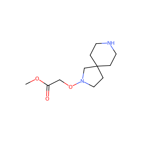 COC(=O)CON1CCC2(CCNCC2)C1